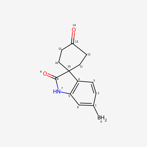 Bc1ccc2c(c1)NC(=O)C21CCC(=O)CC1